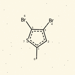 Cc1cc(Br)c(Br)s1